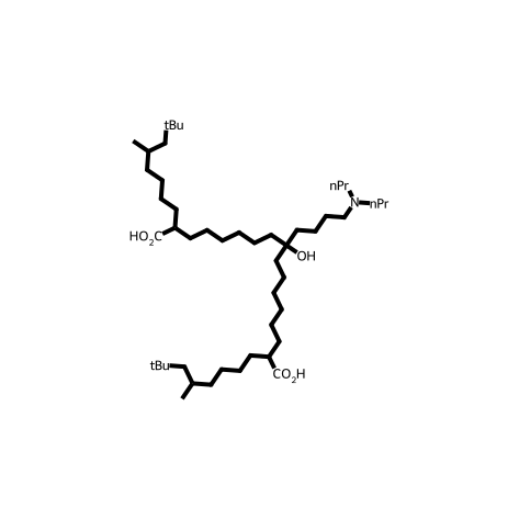 CCCN(CCC)CCCCC(O)(CCCCCCC(CCCCC(C)CC(C)(C)C)C(=O)O)CCCCCCC(CCCCC(C)CC(C)(C)C)C(=O)O